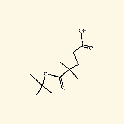 CC(C)(C)OC(=O)C(C)(C)SCC(=O)O